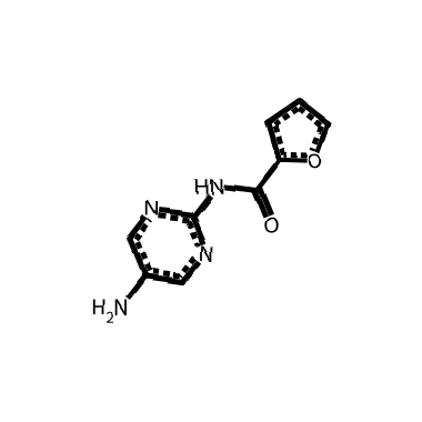 Nc1cnc(NC(=O)c2ccco2)nc1